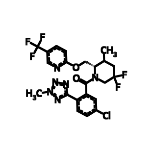 CC1CC(F)(F)CN(C(=O)c2cc(Cl)ccc2-c2nnn(C)n2)[C@@H]1COc1ccc(C(F)(F)F)cn1